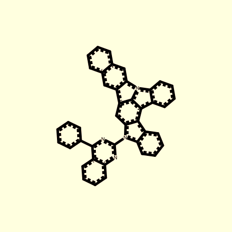 c1ccc(-c2nc(-n3c4ccccc4c4c5c6ccccc6n6c7cc8ccccc8cc7c(cc43)c56)nc3ccccc23)cc1